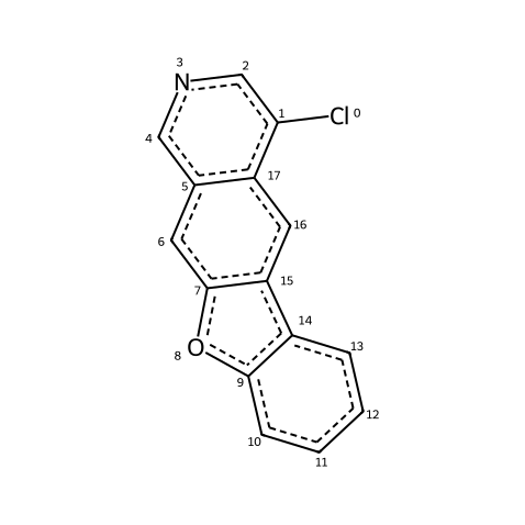 Clc1cncc2cc3oc4ccccc4c3cc12